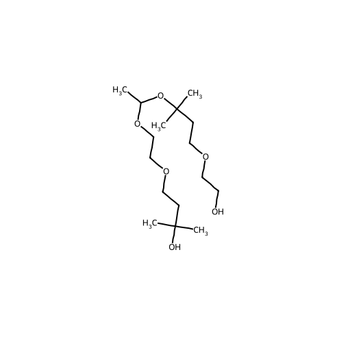 CC(OCCOCCC(C)(C)O)OC(C)(C)CCOCCO